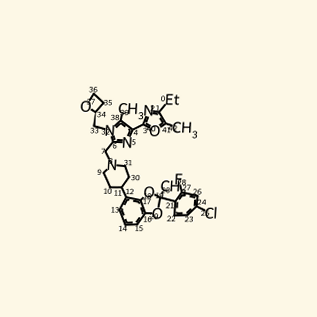 CCc1nc(-c2nc(CN3CCC(c4cccc5c4O[C@@](C)(c4ccc(Cl)cc4F)O5)CC3)n(C[C@@H]3CCO3)c2C)oc1C